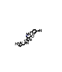 CN(Cc1ccc(C#N)cn1)/N=C\c1c(C=O)n(C)c2nc(Cc3cc[nH]n3)sc12